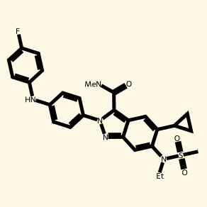 CCN(c1cc2nn(-c3ccc(Nc4ccc(F)cc4)cc3)c(C(=O)NC)c2cc1C1CC1)S(C)(=O)=O